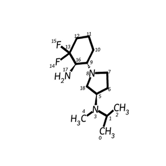 CC(C)N(C)[C@@H]1CCN([C@H]2CCCC(F)(F)[C@@H]2N)C1